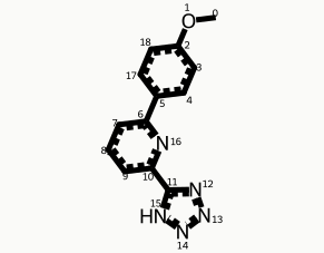 COc1ccc(-c2c[c]cc(-c3nnn[nH]3)n2)cc1